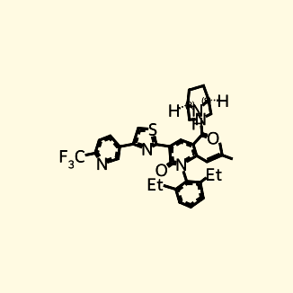 CCc1cccc(CC)c1-n1c(C=C(C)C)c(C(=O)N2C[C@H]3CC[C@@H](C2)N3)cc(-c2nc(-c3ccc(C(F)(F)F)nc3)cs2)c1=O